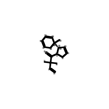 C=CC(C)(C)C(=O)N1CC=C[C@H]1C1(C)C=CC=CC1